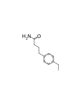 CCc1ccc(CCCC(N)=O)cc1